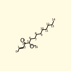 CC=CC(=O)C(CCCCCCCCC)OC